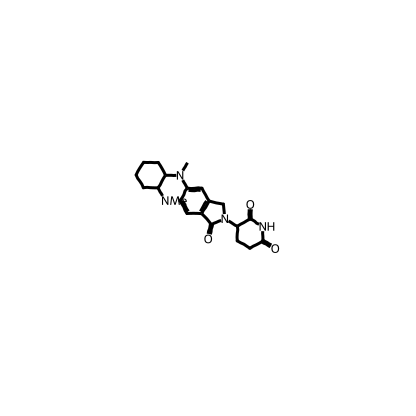 CNC1CCCCC1N(C)c1ccc2c(c1)CN(C1CCC(=O)NC1=O)C2=O